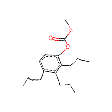 CCCc1ccc(OC(=O)OC)c(CCC)c1CCC